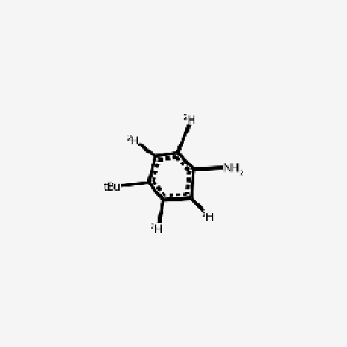 [2H]c1c([2H])c(C(C)(C)C)c([2H])c([2H])c1N